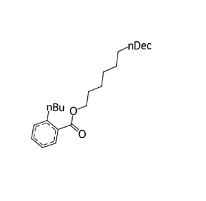 CCCCCCCCCCCCCCCCOC(=O)c1ccccc1CCCC